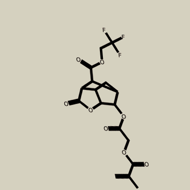 C=C(C)C(=O)OCC(=O)OC1C2CC3C1OC(=O)C3C2C(=O)OCC(F)(F)F